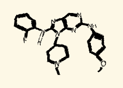 COc1ccc(Nc2ncc3nc(Nc4ccccc4F)n(C4CCN(C)CC4)c3n2)cc1